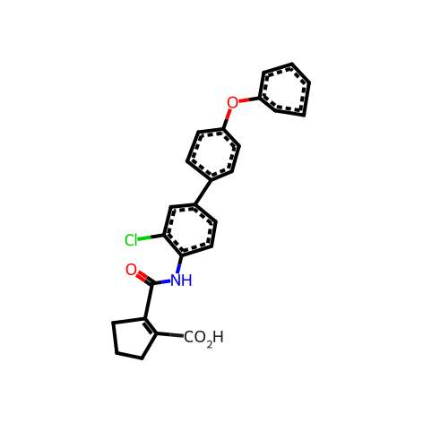 O=C(O)C1=C(C(=O)Nc2ccc(-c3ccc(Oc4ccccc4)cc3)cc2Cl)CCC1